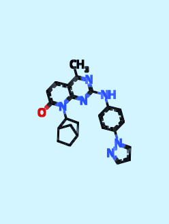 Cc1nc(Nc2ccc(-n3cccn3)cc2)nc2c1ccc(=O)n2C1CC2CCC1C2